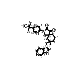 CC1(Cn2cnc3cnccc32)CCCC2(CN(c3cnc(C(C)(C)O)cn3)C(=O)C2=O)C1